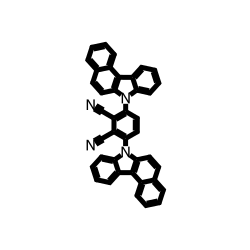 N#Cc1c(-n2c3ccccc3c3c4ccccc4ccc32)ccc(-n2c3ccccc3c3c4ccccc4ccc32)c1C#N